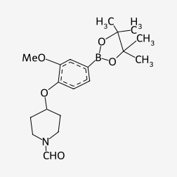 COc1cc(B2OC(C)(C)C(C)(C)O2)ccc1OC1CCN(C=O)CC1